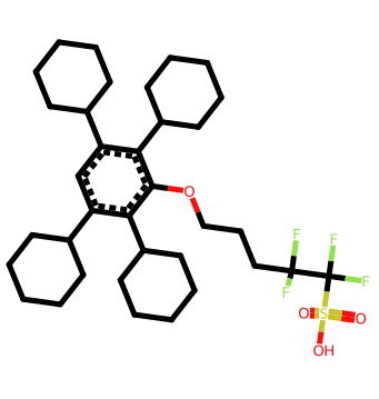 O=S(=O)(O)C(F)(F)C(F)(F)CCCOc1c(C2CCCCC2)c(C2CCCCC2)cc(C2CCCCC2)c1C1CCCCC1